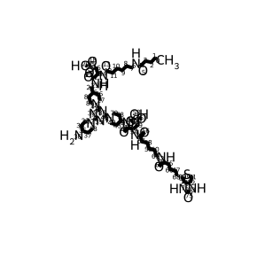 CCCCC(=O)NCCCCCC(=O)NC(CS(=O)(=O)O)C(=O)NCC1CCN(c2nc(N3CCC(N)CC3)nc(N3CCC(NC(=O)C(CS(=O)(=O)O)NC(=O)CCCCCNC(=O)CCCC[C@@H]4SCC5NC(=O)NC54)CC3)n2)CC1